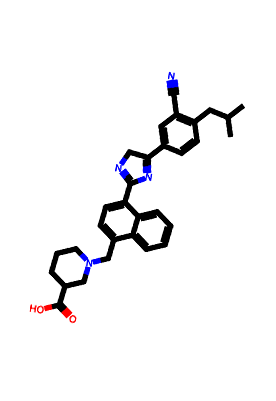 CC(C)Cc1ccc(C2=NC(c3ccc(CN4CCCC(C(=O)O)C4)c4ccccc34)=NC2)cc1C#N